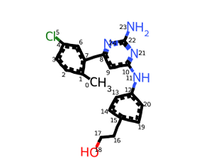 Cc1ccc(Cl)cc1-c1cc(Nc2ccc(CCO)cc2)nc(N)n1